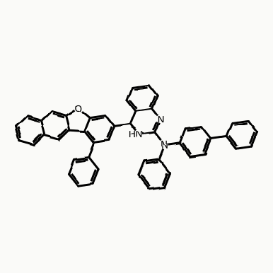 c1ccc(-c2ccc(N(C3=Nc4ccccc4C(c4cc(-c5ccccc5)c5c(c4)oc4cc6ccccc6cc45)N3)c3ccccc3)cc2)cc1